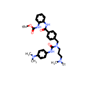 CCN(C)CCCN(Cc1ccc(C(=O)Nc2ccccc2NC(=O)OC(C)(C)C)cc1)C(=O)Nc1ccc(N(C)C)cc1